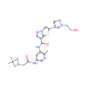 Cc1ncc(NC(=O)CN2CC(C)(C)C2)cc1NC(=O)c1cnn2cc(-c3cnn(CCO)c3)sc12